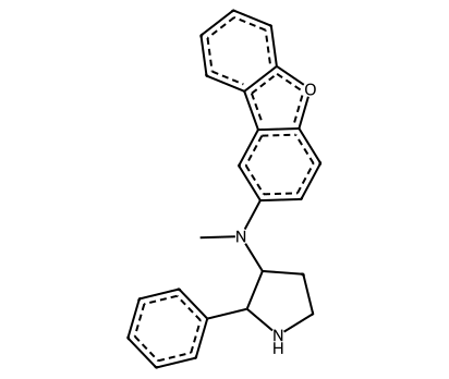 CN(c1ccc2oc3ccccc3c2c1)C1CCNC1c1ccccc1